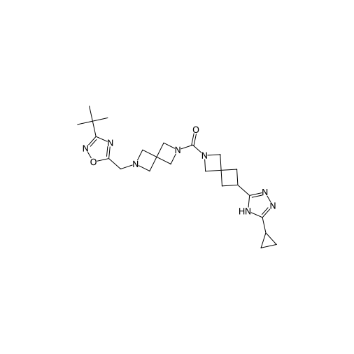 CC(C)(C)c1noc(CN2CC3(C2)CN(C(=O)N2CC4(CC(c5nnc(C6CC6)[nH]5)C4)C2)C3)n1